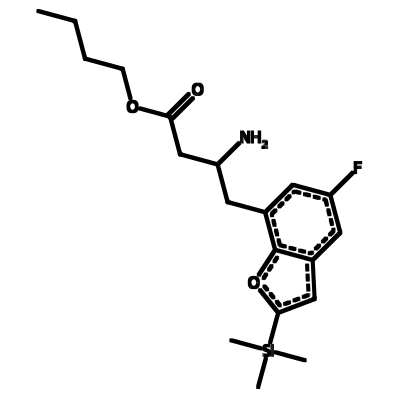 CCCCOC(=O)CC(N)Cc1cc(F)cc2cc([Si](C)(C)C)oc12